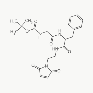 CC(C)(C)OC(=O)NCC(=O)NC(Cc1ccccc1)C(=O)NCCN1C(=O)C=CC1=O